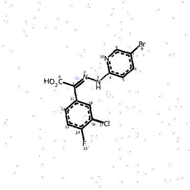 O=C(O)/C(=N/Nc1ccc(Br)cn1)c1ccc(F)c(Cl)c1